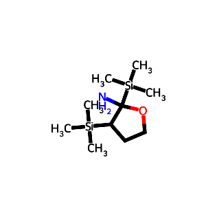 C[Si](C)(C)C1CCOC1(N)[Si](C)(C)C